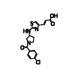 O=C(O)/C=C/c1csc(NC2CCN(C(=O)c3ccc(Cl)cc3)C2)n1